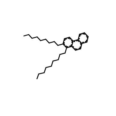 CCCCCCCCCc1ccc2c(ccc3ccccc32)c1CCCCCCCCC